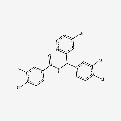 Cc1cc(C(=O)NC(c2ccc(Cl)c(Cl)c2)c2cc(Br)ccn2)ccc1Cl